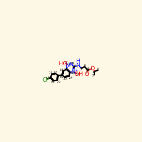 CC(C)OC(=O)CCNc1n[n+](O)c2cc(-c3ccc(Cl)cc3)ccc2[n+]1O